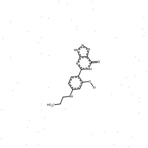 CCOc1cc(NCCC(=O)O)ccc1-c1nc2[nH]nnc2c(=O)[nH]1